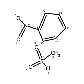 CS(=O)(=O)Cl.O=[N+]([O-])c1ccccc1